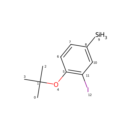 CC(C)(C)Oc1ccc([SiH3])cc1I